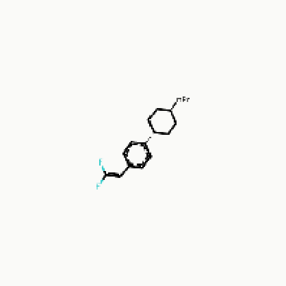 CCC[C@H]1CC[C@H](c2ccc(C=C(F)F)cc2)CC1